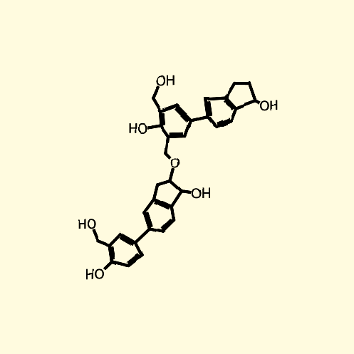 OCc1cc(-c2ccc3c(c2)CC(OCc2cc(-c4ccc5c(c4)CCC5O)cc(CO)c2O)C3O)ccc1O